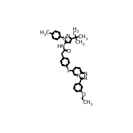 CCOc1cccc(-c2nnc3ccc(Sc4ccc(CC(=O)Nc5cc(C(C)(C)C)nn5-c5ccc(C)cc5)cc4)cn23)c1